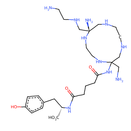 NCCNC[C@]1(N)CNCCNCC(CN)(NC(=O)CCCC(=O)N[C@@H](Cc2ccc(O)cc2)C(=O)O)NCCN1